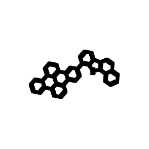 c1ccc2c(c1)ccc1c3cccc(-c4ccc5c(c4)c4cccc6c7ccccc7c7cccc5c7c64)c3sc21